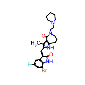 Cc1c(C=C2C(=O)Nc3c(Br)cc(F)cc32)[nH]c2c1C(=O)N(CCN1CCCCC1)CCC2